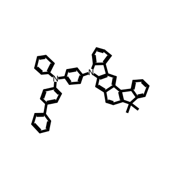 CC1(C)c2ccccc2-c2c1ccc1cc3c(cc21)c1ccccc1n3-c1ccc(N(c2ccccc2)c2ccc(-c3ccccc3)cc2)cc1